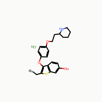 CCC(C)Cc1sc2cc(O)ccc2c1Oc1ccc(OCCC2CCCCN2)cc1.Cl